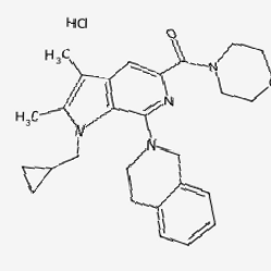 Cc1c(C)n(CC2CC2)c2c(N3CCc4ccccc4C3)nc(C(=O)N3CCOCC3)cc12.Cl